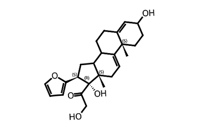 C[C@]12CCC(O)C=C1CCC1C2=CC[C@@]2(C)C1C[C@H](c1ccco1)[C@]2(O)C(=O)CO